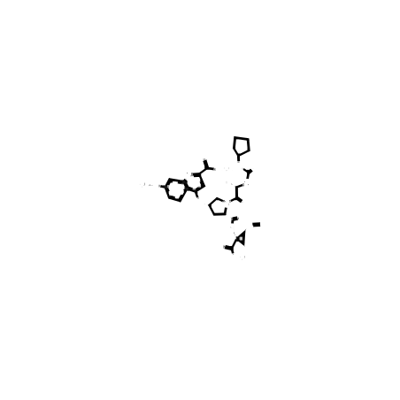 C=C[C@@H]1C[C@]1(NC(=O)[C@@H]1C[C@H](Oc2cc(C(=O)OC)nc3cc(OC)ccc23)CN1C(=O)[C@@H](NC(=O)OC1CCCC1)C(C)(C)C)C(=O)OC